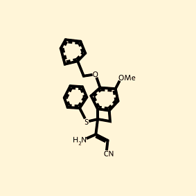 COc1cc2c(cc1OCc1ccccc1)C(Sc1ccccc1)(C(N)=CC#N)C2